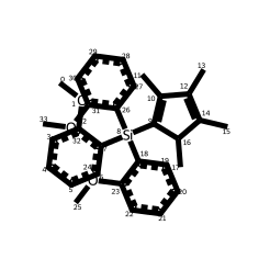 COc1ccccc1[Si](C1=C(C)C(C)=C(C)C1C)(c1ccccc1OC)c1ccccc1OC